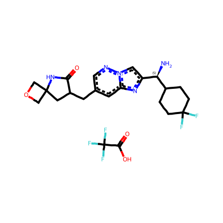 N[C@H](c1cn2ncc(CC3CC4(COC4)NC3=O)cc2n1)C1CCC(F)(F)CC1.O=C(O)C(F)(F)F